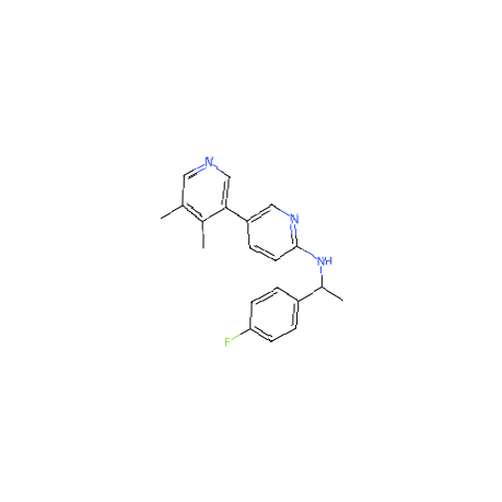 Cc1cncc(-c2ccc(NC(C)c3ccc(F)cc3)nc2)c1C